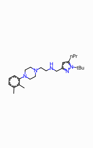 CCCc1cc(CNCCN2CCN(c3cccc(C)c3C)CC2)nn1C(C)(C)C